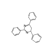 c1ccc(C2=NC(c3ccccc3)=NC(c3ccccc3)C2)cc1